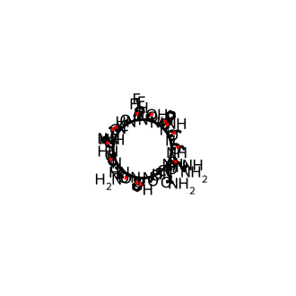 CCCC[C@H]1C(=O)N(C)[C@@H](CCCC)C(=O)N[C@@H](CCCNC(=N)N)C(=O)N[C@H](C(=O)NCC(N)=O)CSCC(=O)N[C@@H](Cc2ccccc2)C(=O)N(C)[C@@H](C)C(=O)N[C@@H](CC(N)=O)C(=O)N2CCC[C@H]2C(=O)N[C@@H](Cc2cnc[nH]2)C(=O)N[C@@H](CC(C)C)C(=O)N(C)CC(=O)N[C@@H](Cc2cccc(C(F)(F)F)c2)C(=O)N[C@@H](CO)C(=O)N[C@@H](Cc2c[nH]c3ccccc23)C(=O)N1C